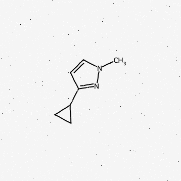 Cn1c[c]c(C2CC2)n1